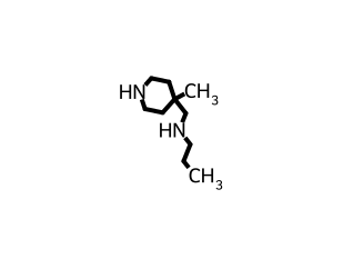 CCCNCC1(C)CCNCC1